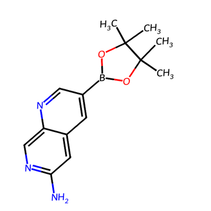 CC1(C)OB(c2cnc3cnc(N)cc3c2)OC1(C)C